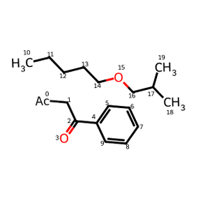 CC(=O)CC(=O)c1ccccc1.CCCCCOCC(C)C